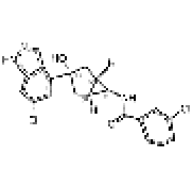 O=C(N[C@H]1[C@@H]2C[C@@](O)(c3cc(Cl)cc4[nH]ncc34)C[C@@H]21)c1cccc(Cl)c1